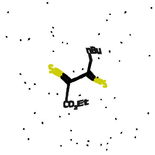 CCCCC(=S)C(=S)C(=O)OCC